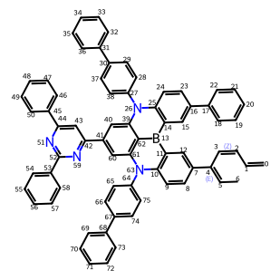 C=C/C=C\C(=C/C)c1ccc2c(c1)B1c3cc(-c4ccccc4)ccc3N(c3ccc(-c4ccccc4)cc3)c3cc(-c4cc(-c5ccccc5)nc(-c5ccccc5)n4)cc(c31)N2c1ccc(-c2ccccc2)cc1